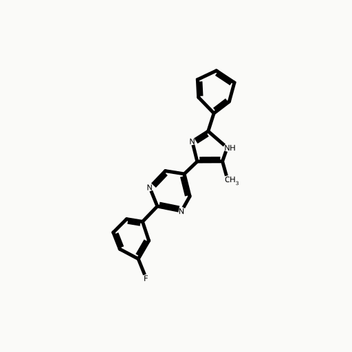 Cc1[nH]c(-c2ccccc2)nc1-c1cnc(-c2cccc(F)c2)nc1